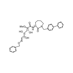 CO[C@@H](C(=O)N[C@H]1CCCCN(Cc2ccc(-c3ccccc3)cc2)C1=O)[C@H](O)[C@@H](O)[C@@H](O)C=NOCc1ccccc1